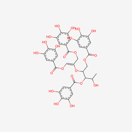 CC(O)C(OC(=O)c1cc(O)c(O)c(O)c1)C(COC(=O)c1cc(O)c(O)c(O)c1)O/C(=C\OC(=O)c1cc(O)c(O)c(O)c1)COC(=O)c1cc(O)c(O)c(O)c1